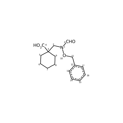 O=CN(CC1(C(=O)O)CCCCC1)OCc1ccccc1